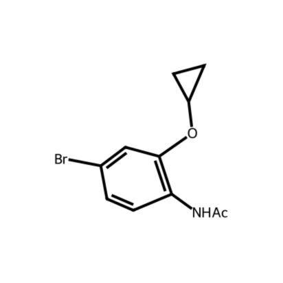 CC(=O)Nc1ccc(Br)cc1OC1CC1